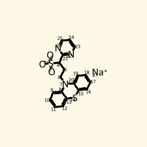 O=S(=O)([O-])C(CCN1c2ccccc2Sc2ccccc21)c1ncccn1.[Na+]